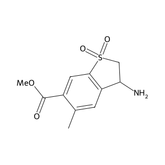 COC(=O)c1cc2c(cc1C)C(N)CS2(=O)=O